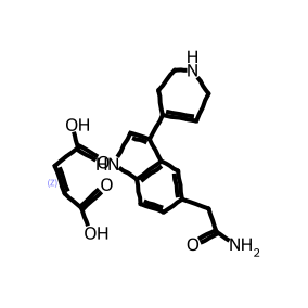 NC(=O)Cc1ccc2[nH]cc(C3=CCNCC3)c2c1.O=C(O)/C=C\C(=O)O